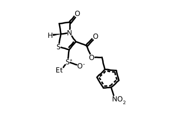 CC[S+]([O-])C1=C(C(=O)OCc2ccc([N+](=O)[O-])cc2)N2C(=O)C[C@H]2S1